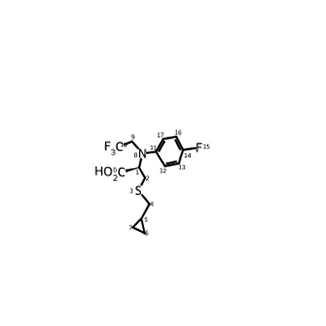 O=C(O)[C@H](CSCC1CC1)N(CC(F)(F)F)c1ccc(F)cc1